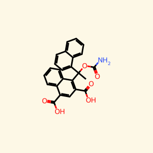 CC(OC(N)=O)(c1cccc2ccccc12)c1c(C(=O)O)cc(C(=O)O)c2ccccc12